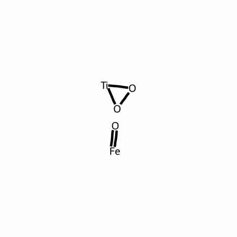 [O]1[O][Ti]1.[O]=[Fe]